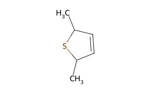 CC1C=CC(C)S1